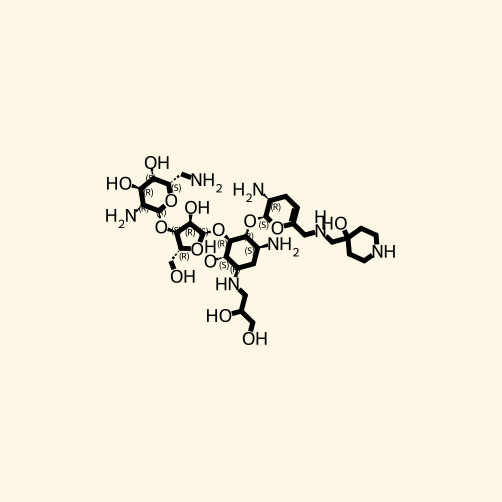 NC[C@@H]1O[C@H](O[C@H]2[C@@H](O)[C@H](O[C@@H]3[C@@H](O)[C@H](NCC(O)CO)C[C@H](N)[C@H]3O[C@H]3OC(CNCC4(O)CCNCC4)=CC[C@H]3N)O[C@@H]2CO)[C@H](N)[C@@H](O)[C@@H]1O